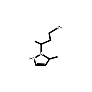 CC(C)CCC(C)N1NC=CC1C